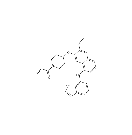 C=CC(=O)N1CCC(Oc2cc3c(Nc4cccc5cn[nH]c45)ncnc3cc2OC)CC1